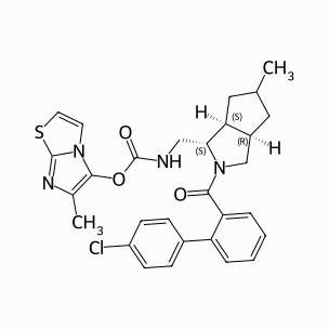 Cc1nc2sccn2c1OC(=O)NC[C@@H]1[C@H]2CC(C)C[C@H]2CN1C(=O)c1ccccc1-c1ccc(Cl)cc1